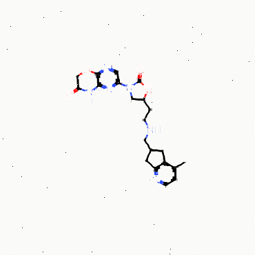 Cc1ccnc2c1CC(CNCCC1CN(c3cnc4c(n3)NC(=O)CO4)C(=O)O1)C2